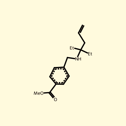 C=CCC(CC)(CC)NCc1ccc(C(=O)OC)cc1